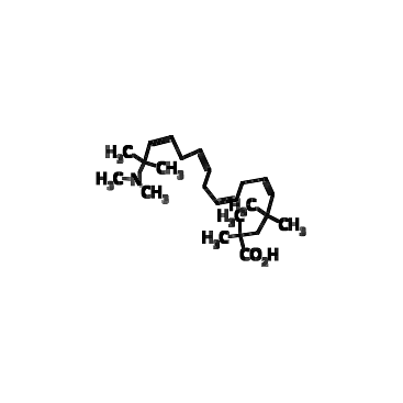 CN(C)C(C)(C)/C=C\C/C=C\C/C=C\C/C=C\C(C)(C)CC(C)(C)C(=O)O